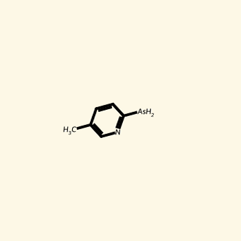 Cc1ccc([AsH2])nc1